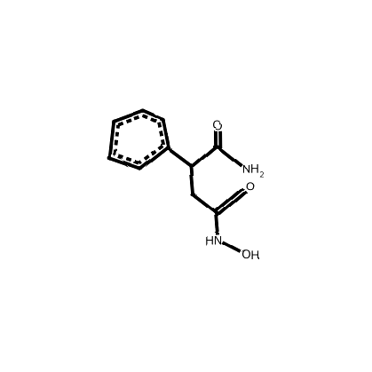 NC(=O)C(CC(=O)NO)c1ccccc1